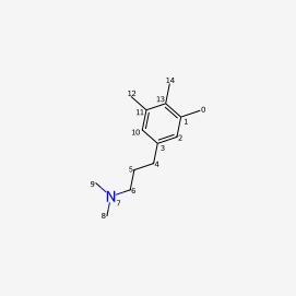 Cc1cc(CCCN(C)C)cc(C)c1C